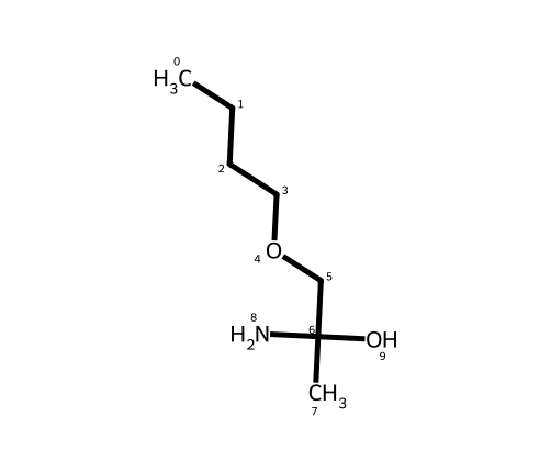 CCCCOCC(C)(N)O